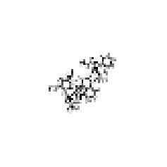 COc1ccccc1CC(=O)Nc1cccc2c(N(CC(=O)O)S(=O)(=O)c3cc(Cl)cc(Cl)c3)cccc12